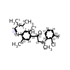 CCN(C)/C=N\c1cc(C)c(C(=O)CN(C)c2cccc(F)c2Cl)cc1C